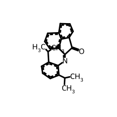 CC(C)c1cccc(C(C)C)c1/N=C1/C(=O)c2cccc3cccc1c23